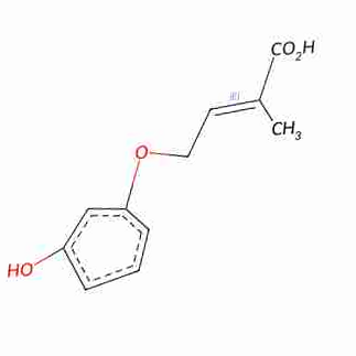 C/C(=C\COc1cccc(O)c1)C(=O)O